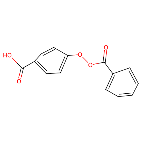 O=C(O)c1ccc(OOC(=O)c2ccccc2)cc1